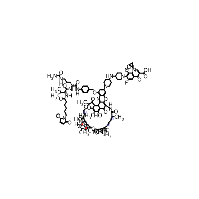 COc1c(N2CCC(NC3CCN(c4cc(OCc5ccc(NC(=O)[C@H](CCCNC(N)=O)NC(=O)[C@@H](NC(=O)CCCCCN6C(=O)C=CC6=O)C(C)C)cc5)c5nc6c7c8c9c(C)c(O)c7c(=O)c(c-6oc5c4)NC(=O)/C(C)=C\C=C\[C@H](C)[C@H](O)[C@@H](C)C[C@@H](C)[C@H](OC(C)=O)[C@H](C)[C@@H](O)/C=C/O[C@@](C)(O9)C8=O)CC3)CC2)c(F)cc2c(=O)c(C(=O)O)cn(C3CC3)c12